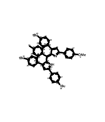 COc1ccc(C2=N/C(=C(\c3[nH]c(-c4ccc(C(C)(C)C)cc4)cc3-c3ccc(C(C)(C)C)cc3)c3c(C)cc(C)cc3C)C(c3ccc(C(C)(C)C)cc3)=C2)cc1